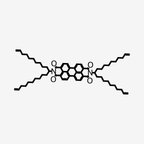 C=CCCCCCCCCC(CCCCCCCCC=C)N1C(=O)c2ccc3c4ccc5c6c(ccc(c7ccc(c2c37)C1=O)c64)C(=O)N(C(CCCCCCCCC=C)CCCCCCCCC=C)C5=O